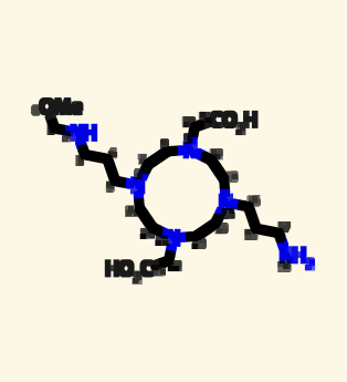 COCNCCCN1CCN(CC(=O)O)CCN(CCCN)CCN(CC(=O)O)CC1